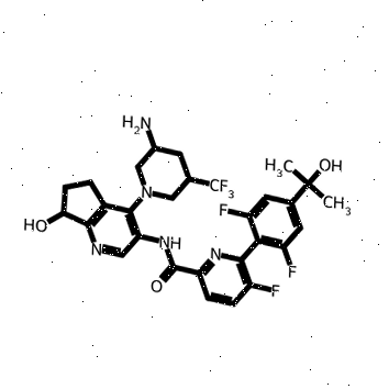 CC(C)(O)c1cc(F)c(-c2nc(C(=O)Nc3cnc4c(c3N3CC(N)CC(C(F)(F)F)C3)CCC4O)ccc2F)c(F)c1